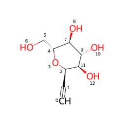 C#C[C@H]1O[C@H](CO)[C@@H](O)[C@H](O)[C@H]1O